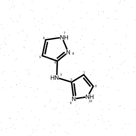 c1cc(Nc2cc[nH]n2)n[nH]1